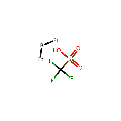 CC[B]CC.O=S(=O)(O)C(F)(F)F